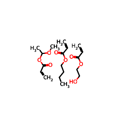 C=CC(=O)OC(C)OC.C=CC(=O)OCCCC.C=CC(=O)OCCO